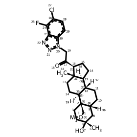 COC[C@]12CC[C@@](C)(O)C[C@H]1CC[C@H]1[C@@H]3CC[C@H](C(=O)Cn4nnc5c(F)c(Cl)ccc54)[C@@]3(C)CC[C@@H]12